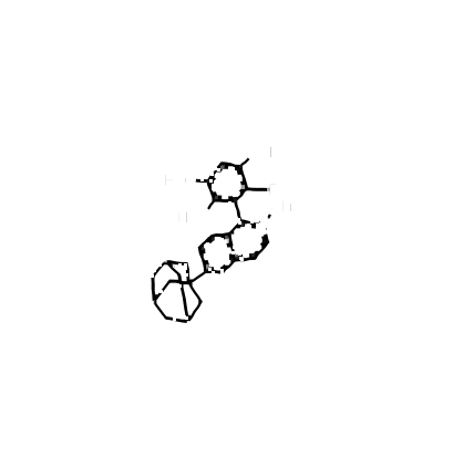 Cc1cc(C)c(F)c(-c2c3ccc(C45CC6CC(CC(C6)C4)C5)cc3cc[n+]2C)c1C